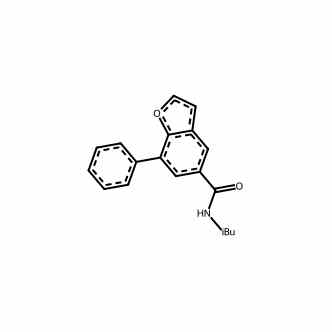 CCC(C)NC(=O)c1cc(-c2ccccc2)c2occc2c1